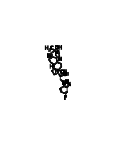 C[C@@]1(O)CC[C@@]2(F)[C@H](CC[C@H]3[C@@H]4CC[C@H](C(=O)Cn5nnc6cc(F)ccc65)[C@@]4(C)CC[C@@H]32)C1